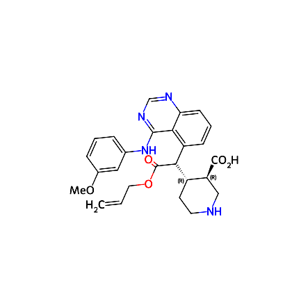 C=CCOC(=O)C(c1cccc2ncnc(Nc3cccc(OC)c3)c12)[C@H]1CCNC[C@@H]1C(=O)O